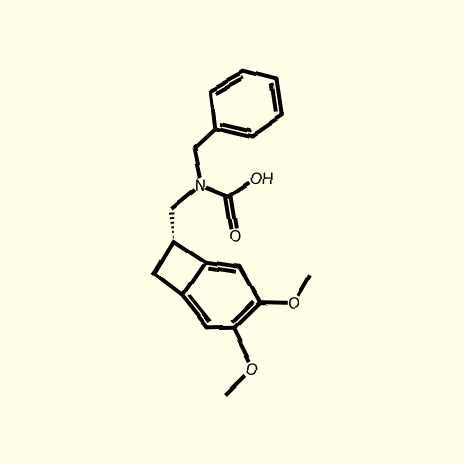 COc1cc2c(cc1OC)[C@@H](CN(Cc1ccccc1)C(=O)O)C2